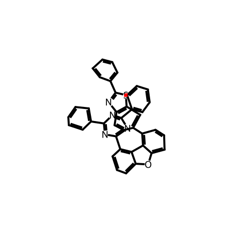 c1ccc(-c2nc(-c3ccccc3)nc(-c3cccc4oc5cccc(-c6ccc7nc(-c8ccccc8)sc7c6)c5c34)n2)cc1